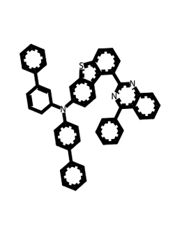 C1=CC(c2ccccc2)=CC(N(c2ccc(-c3ccccc3)cc2)c2ccc3c(c2)sc2cccc(-c4nc(-c5ccccc5)c5ccccc5n4)c23)C1